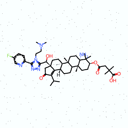 CC(C)C1=C2[C@H]3CCC4[C@@]5(C)CC[C@H](OC(=O)CC(C)(C)C(=O)O)C(C)(C)[C@]5(N)CC[C@@]4(C)[C@]3(C)CC[C@@]2(C(O)c2nnc(-c3ccc(F)cn3)n2CCN(C)C)CC1=O